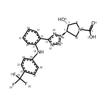 O=C(O)N1C[C@@H](O)[C@H](n2nnc(-c3ccccc3Nc3ccc(C(F)(F)F)cc3)n2)C1